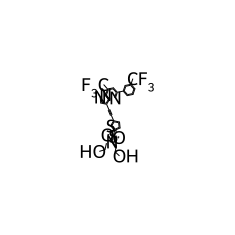 O=S(=O)(c1ccc(C#Cc2cnn3c(C(F)(F)F)cc(-c4cccc(C(F)(F)F)c4)nc23)s1)N(CCO)CCO